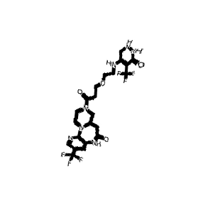 O=C1CC2CN(C(=O)CCOCCNC3=C(C(F)(F)F)C(=O)NNC3)CCN2c2ncc(C(F)(F)F)cc2N1